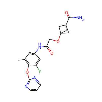 Cc1cc(NC(=O)COC23CC(C(N)=O)(C2)C3)cc(F)c1Oc1ncccn1